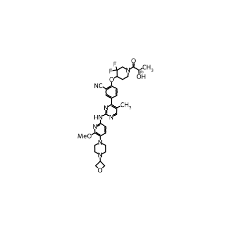 COc1nc(Nc2ncc(C)c(-c3ccc(OC4CCN(C(=O)[C@@H](C)O)CC4(F)F)c(C#N)c3)n2)ccc1N1CCN(C2COC2)CC1